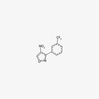 O=[N+]([O-])c1conc1-c1cccc(C(F)(F)F)c1